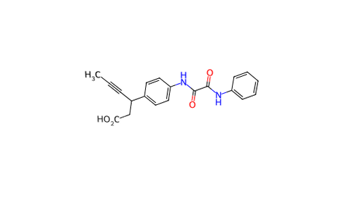 CC#CC(CC(=O)O)c1ccc(NC(=O)C(=O)Nc2ccccc2)cc1